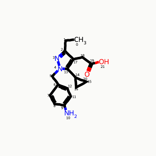 CCc1nn(Cc2ccc(N)cc2)c(C2CC2)c1CC(=O)O